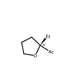 CC[C@]1(C(C)=O)CCCO1